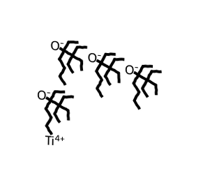 CCCCC([O-])(CC)C(CC)(CC)CC.CCCCC([O-])(CC)C(CC)(CC)CC.CCCCC([O-])(CC)C(CC)(CC)CC.CCCCC([O-])(CC)C(CC)(CC)CC.[Ti+4]